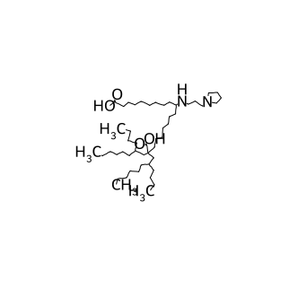 CCCCCCC(CCCC)CC(CCCCCCCC(CCCCCCCCC(=O)O)NCCCN1CCCC1)(CC(CCCC)CCCCCC)C(=O)O